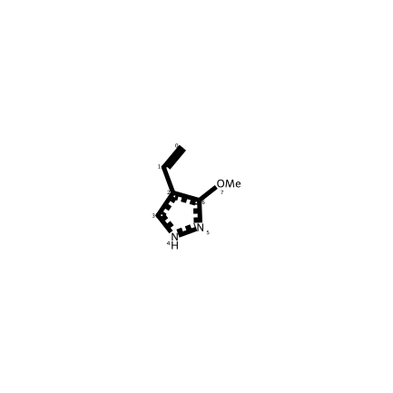 C=Cc1c[nH]nc1OC